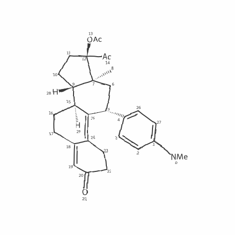 CNc1ccc([C@H]2C[C@@]3(C)[C@@H](CC[C@]3(OC(C)=O)C(C)=O)[C@@H]3CCC4=CC(=O)CCC4=C32)cc1